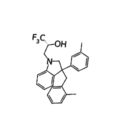 Cc1cccc(C2(Cc3ccccc3C)CN(C[C@@H](O)C(F)(F)F)c3ccccc32)c1